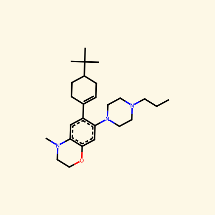 CCCN1CCN(c2cc3c(cc2C2=CCC(C(C)(C)C)CC2)N(C)CCO3)CC1